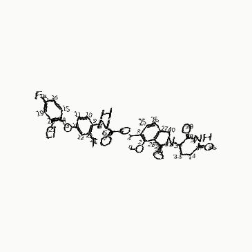 COc1c(COC(=O)Nc2ccc(Oc3ccc(F)cc3Cl)cc2F)ccc2c1C(=O)N(C1CCC(=O)NC1=O)C2